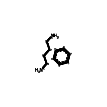 NCCCCN.c1ccccc1